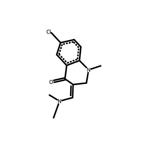 CN(C)C=C1CN(C)c2ccc(Cl)cc2C1=O